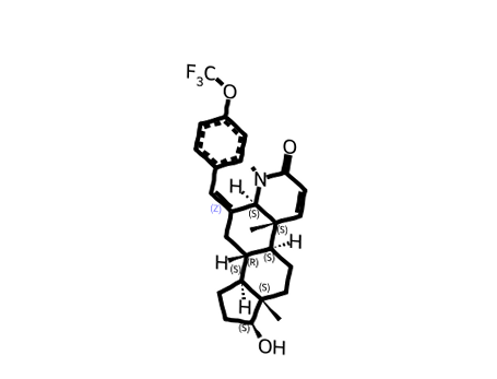 CN1C(=O)C=C[C@]2(C)[C@H]3CC[C@]4(C)[C@@H](O)CC[C@H]4[C@@H]3C/C(=C/c3ccc(OC(F)(F)F)cc3)[C@@H]12